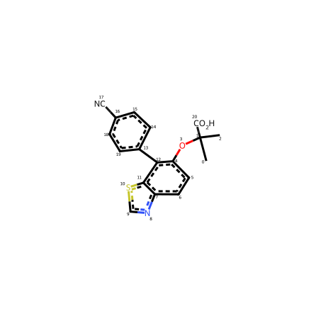 CC(C)(Oc1ccc2ncsc2c1-c1ccc(C#N)cc1)C(=O)O